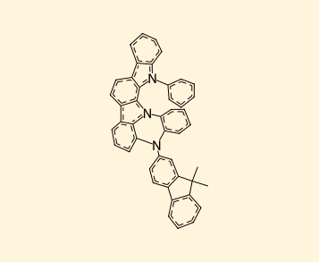 CC1(C)c2ccccc2-c2ccc(N3c4ccccc4-n4c5c3cccc5c3ccc5c6ccccc6n(-c6ccccc6)c5c34)cc21